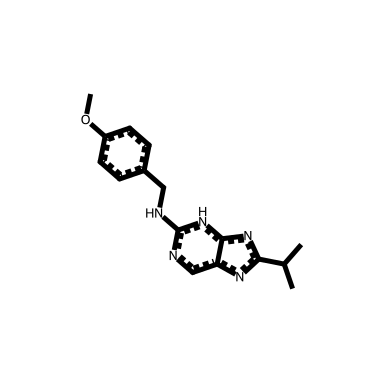 COc1ccc(CNc2ncc3nc(C(C)C)nc-3[nH]2)cc1